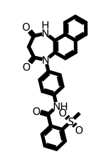 CS(=O)(=O)c1ccccc1C(=O)Nc1ccc(N2C(=O)CC(=O)Nc3c2ccc2ccccc32)cc1